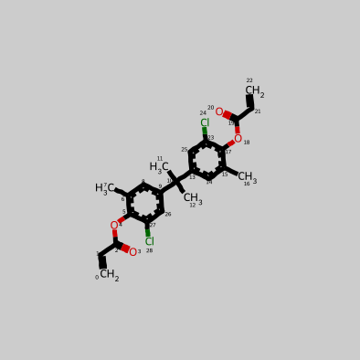 C=CC(=O)Oc1c(C)cc(C(C)(C)c2cc(C)c(OC(=O)C=C)c(Cl)c2)cc1Cl